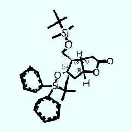 CC(C)(C)[Si](C)(C)OC[C@H]1[C@@H]2CC(=O)O[C@@H]2C[C@@H]1O[Si](c1ccccc1)(c1ccccc1)C(C)(C)C